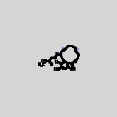 CNC(=O)CO/N=C1/C=C/CC/C=C/CCOC(=O)c2c(O)cc(O)c(Cl)c2C1